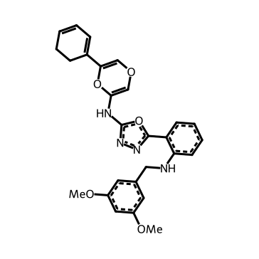 COc1cc(CNc2ccccc2-c2nnc(NC3=COC=C(C4=CC=CCC4)O3)o2)cc(OC)c1